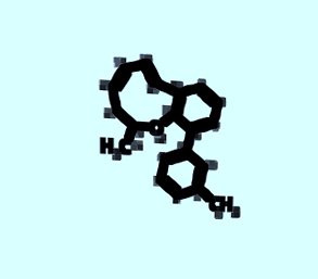 Cc1cccc(-c2cccc3c2OC(C)C/C=C\C=C\3)c1